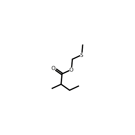 CCC(C)C(=O)OCSC